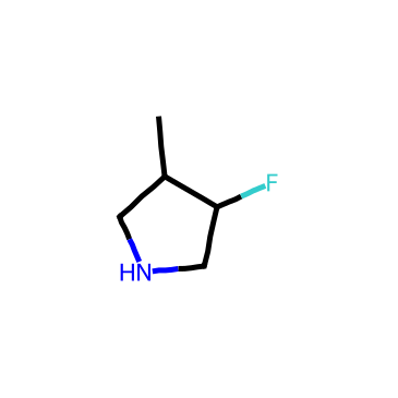 CC1CNCC1F